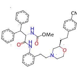 COC(=O)N[C@H](C(=O)Nc1ccccc1CCN1CCO[C@H](CCc2ccc(C#N)cc2)C1)C(c1ccccc1)c1ccccc1